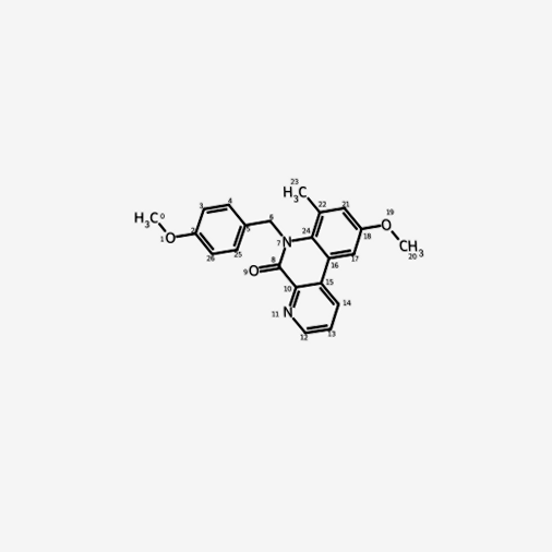 COc1ccc(Cn2c(=O)c3ncccc3c3cc(OC)cc(C)c32)cc1